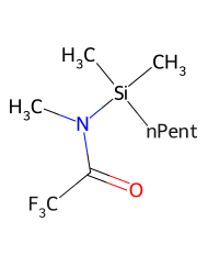 CCCCC[Si](C)(C)N(C)C(=O)C(F)(F)F